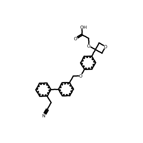 N#CCc1ccccc1-c1cccc(COc2ccc(C3(OCC(=O)O)COC3)cc2)c1